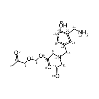 CC(=O)COCOC(=O)CN(CC=O)Cc1ccc(O)c(CN)c1